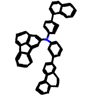 c1cc(-c2ccc3c(ccc4ccccc43)c2)cc(N(c2ccc(-c3cccc4ccccc34)cc2)c2cc3c4c(cccc4c2)-c2ccccc2-3)c1